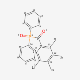 [Li][c]1cc(C(=O)P(=O)(c2ccccc2)c2ccccc2)c(C)c(C)c1C